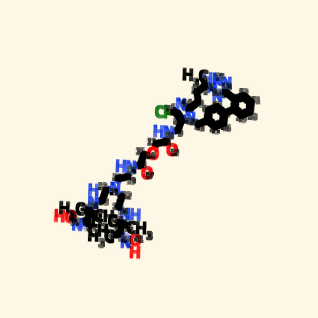 CCCCc1nc(Cl)c(CNC(=O)COCC(=O)NCCN(CCNC(C)(C)/C(C)=N\O)CCNC(C)(C)/C(C)=N\O)n1Cc1ccc(-c2ccccc2-c2nn[nH]n2)cc1